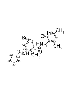 Cc1cc(C)c(CNC(=O)c2cc(Br)cc(NCC3CCCC3)c2C)c(=O)[nH]1